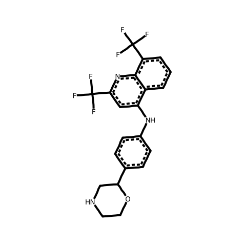 FC(F)(F)c1cc(Nc2ccc(C3CNCCO3)cc2)c2cccc(C(F)(F)F)c2n1